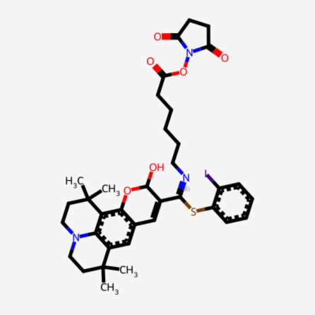 CC1(C)CCN2CCC(C)(C)c3c4c(cc1c32)C=C(/C(=N\CCCCCC(=O)ON1C(=O)CCC1=O)Sc1ccccc1I)C(O)O4